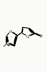 Brc1ccc(-c2cnco2)o1